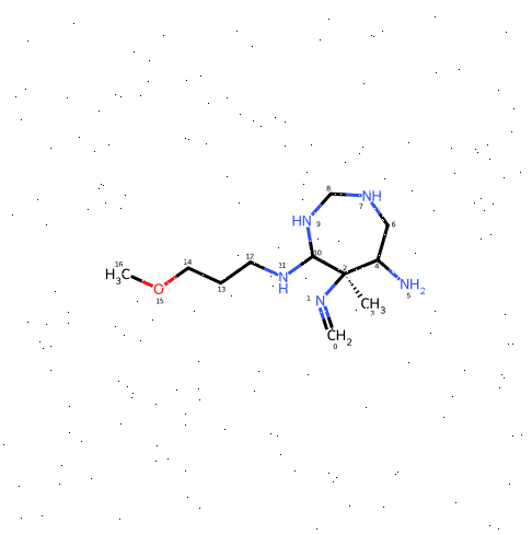 C=N[C@]1(C)C(N)CNCNC1NCCCOC